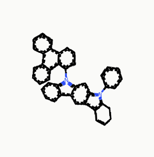 C1=Cc2c(n(-c3ccccc3)c3cc4c(cc23)c2ccccc2n4-c2cccc3c4ccccc4c4ccccc4c23)CC1